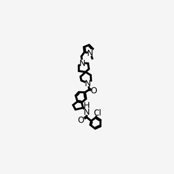 Cn1cccc1CN1CCC2(CC1)CCN(C(=O)c1ccc3c(c1)C(NC(=O)c1ccccc1Cl)CC3)CC2